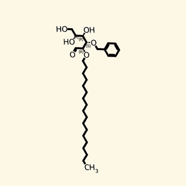 CCCCCCCCCCCCCCCCCCO[C@@H](C=O)[C@@H](OCc1ccccc1)[C@H](O)[C@H](O)CO